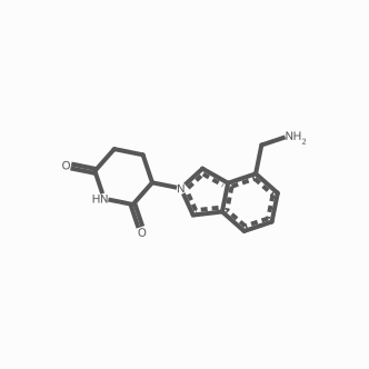 NCc1cccc2cn(C3CCC(=O)NC3=O)cc12